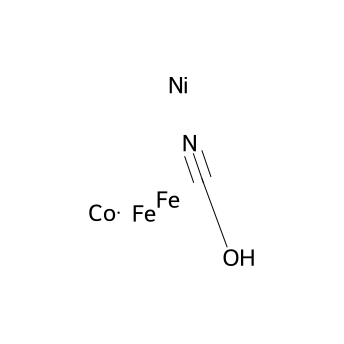 N#CO.[Co].[Fe].[Fe].[Ni]